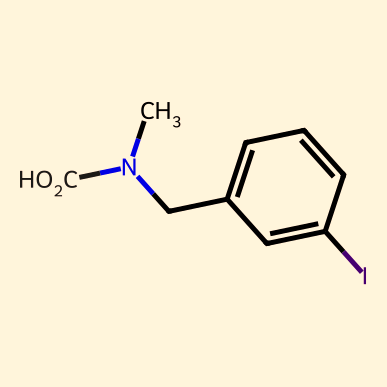 CN(Cc1cccc(I)c1)C(=O)O